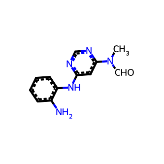 CN(C=O)c1cc(Nc2ccccc2N)ncn1